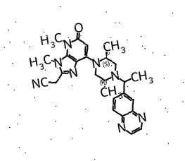 CC(c1ccc2nccnc2c1)N1C[C@H](C)N(c2cc(=O)n(C)c3c2nc(CC#N)n3C)C[C@H]1C